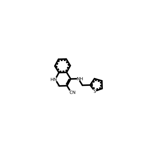 N#CC1=C(NCc2cccs2)c2ccccc2N[C]1